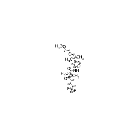 COCCOCC(C)(C)c1cc(NC(=O)C(C)(C)[S@+]([O-])CCCC(F)(F)F)on1